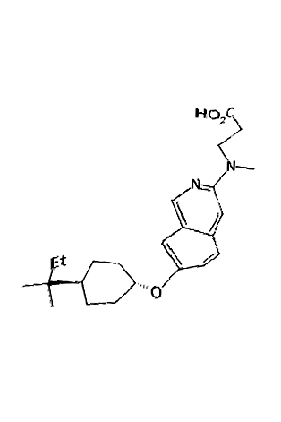 CCC(C)(C)[C@H]1CC[C@H](Oc2ccc3cc(N(C)CCC(=O)O)ncc3c2)CC1